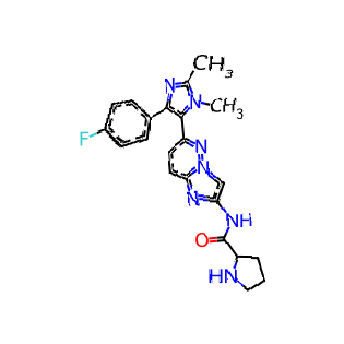 Cc1nc(-c2ccc(F)cc2)c(-c2ccc3nc(NC(=O)C4CCCN4)cn3n2)n1C